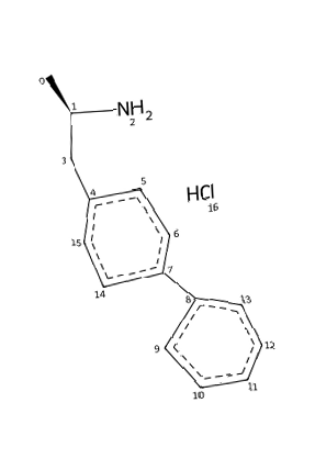 C[C@@H](N)Cc1ccc(-c2ccccc2)cc1.Cl